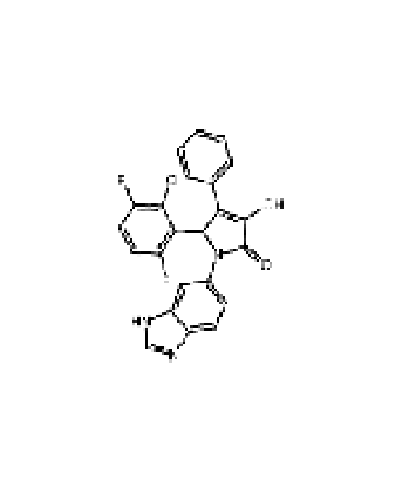 O=C1C(O)=C(c2ccccc2)C(c2c(F)ccc(F)c2Cl)N1c1ccc2nc[nH]c2c1